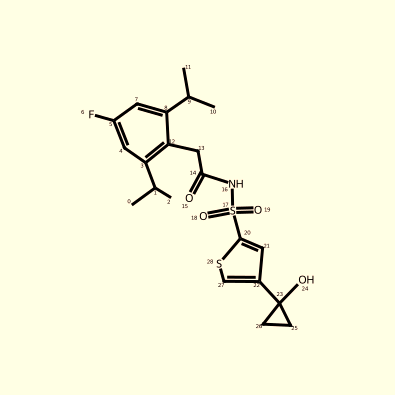 CC(C)c1cc(F)cc(C(C)C)c1CC(=O)NS(=O)(=O)c1cc(C2(O)CC2)cs1